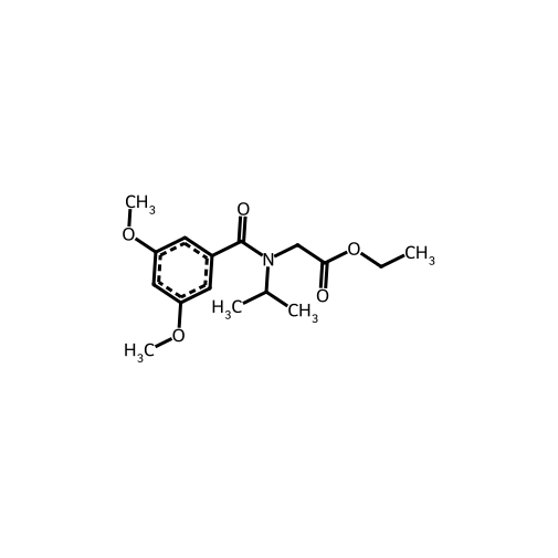 CCOC(=O)CN(C(=O)c1cc(OC)cc(OC)c1)C(C)C